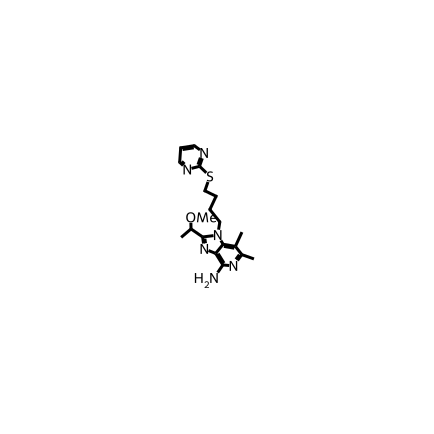 COC(C)c1nc2c(N)nc(C)c(C)c2n1CCCCSc1ncccn1